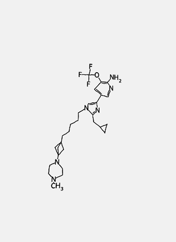 CN1CCN(C23CC(CCCCCn4cc(-c5cnc(N)c(OC(F)(F)F)c5)nc4CC4CC4)(C2)C3)CC1